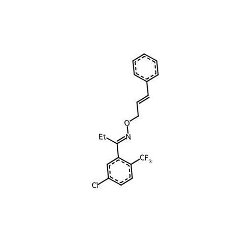 CC/C(=N\OC/C=C/c1ccccc1)c1cc(Cl)ccc1C(F)(F)F